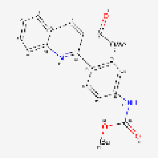 COC(=O)c1cc2ccccc2nc1-c1ccc(NC(=O)OC(C)(C)C)cc1